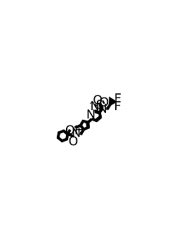 CN1c2nc(C3=CC4CN(C(=O)C5(O)CCCCC5)CC4C3)ccc2N(CC2CC2(F)F)S1(=O)=O